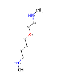 CNCCCCOCCNC